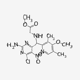 COC(=O)CNC(c1ncc(C)c(OC)c1C)c1nc(N)nc(Cl)c1[N+](=O)[O-]